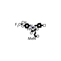 CNC(=O)CCn1c(=O)[nH]/c(=N\c2ccc(O[C@H](C)C(F)(F)F)cc2)n(Cc2ccc(Cl)cc2)c1=O